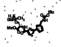 COC(=O)[C@H](CO[Si](C)(C)C(C)(C)C)NC(=O)c1csc(-c2cccc(CNC(=O)OC(C)(C)C)c2)n1